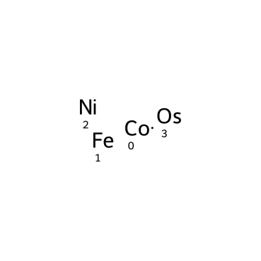 [Co].[Fe].[Ni].[Os]